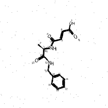 C[C@@H](NC(=O)C=CC(=O)O)C(=O)NCc1ccccc1